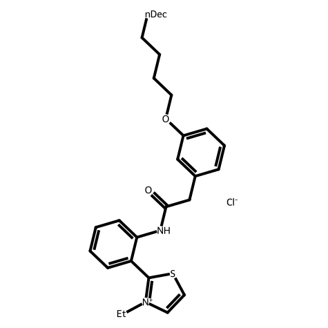 CCCCCCCCCCCCCCOc1cccc(CC(=O)Nc2ccccc2-c2scc[n+]2CC)c1.[Cl-]